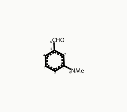 CNc1cccc(C=O)c1